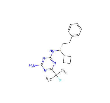 CC(C)(F)c1nc(N)nc(N[C@H](CCc2ccccc2)C2CCC2)n1